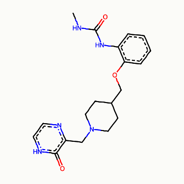 CNC(=O)Nc1ccccc1OCC1CCN(Cc2ncc[nH]c2=O)CC1